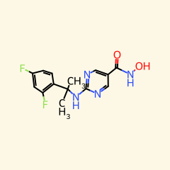 CC(C)(Nc1ncc(C(=O)NO)cn1)c1ccc(F)cc1F